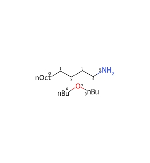 CCCCCCCCCCCCN.CCCCOCCCC